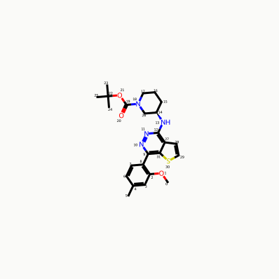 COc1cc(C)ccc1-c1nnc(N[C@@H]2CCCN(C(=O)OC(C)(C)C)C2)c2ccsc12